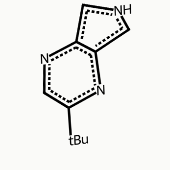 CC(C)(C)c1cnc2c[nH]cc2n1